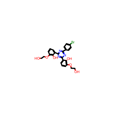 OCCOc1cccc(-c2nc(-c3ccc(Br)cc3)nc(-c3cccc(OCCO)c3O)n2)c1O